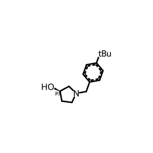 CC(C)(C)c1ccc(CN2CC[C@@H](O)C2)cc1